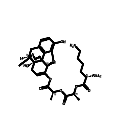 CC(=O)N[C@@H](CCCCN)C(=O)O[C@@H](C)C(=O)O[C@@H](C)C(=O)OC1=CC[C@@]2(O)[C@H]3Cc4ccc(O)c5c4C2(CCN3C)[C@H]1O5